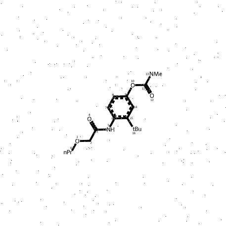 CCCOCC(=O)Nc1ccc(OC(=O)NC)cc1C(C)(C)C